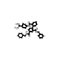 N=C(N)c1ccc(NC(=O)c2ccccc2-c2ccc(C(=O)NCC3CCCCC3)cc2C(=O)OCc2ccccc2)cc1